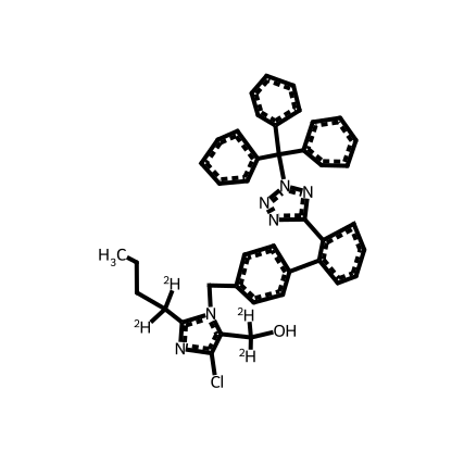 [2H]C([2H])(O)c1c(Cl)nc(C([2H])([2H])CCC)n1Cc1ccc(-c2ccccc2-c2nnn(C(c3ccccc3)(c3ccccc3)c3ccccc3)n2)cc1